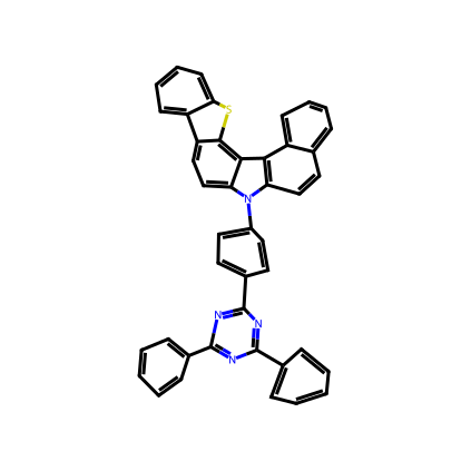 c1ccc(-c2nc(-c3ccccc3)nc(-c3ccc(-n4c5ccc6ccccc6c5c5c6sc7ccccc7c6ccc54)cc3)n2)cc1